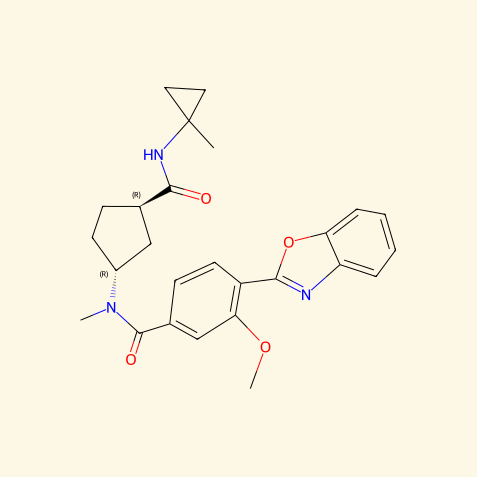 COc1cc(C(=O)N(C)[C@@H]2CC[C@@H](C(=O)NC3(C)CC3)C2)ccc1-c1nc2ccccc2o1